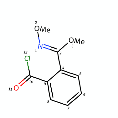 CON=C(OC)c1ccccc1C(=O)Cl